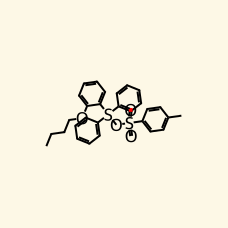 CCCCOc1ccccc1S(OS(=O)(=O)c1ccc(C)cc1)(c1ccccc1)c1ccccc1